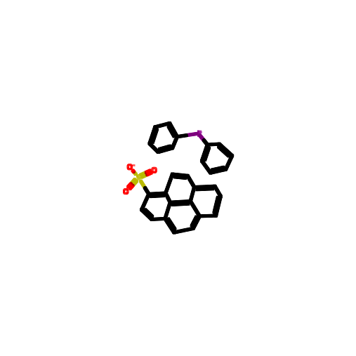 O=S(=O)([O-])c1ccc2ccc3cccc4ccc1c2c34.c1ccc([I+]c2ccccc2)cc1